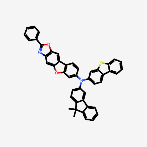 CC1(C)c2ccccc2-c2cc(N(c3ccc4c(c3)oc3cc5nc(-c6ccccc6)oc5cc34)c3ccc4c(c3)sc3ccccc34)ccc21